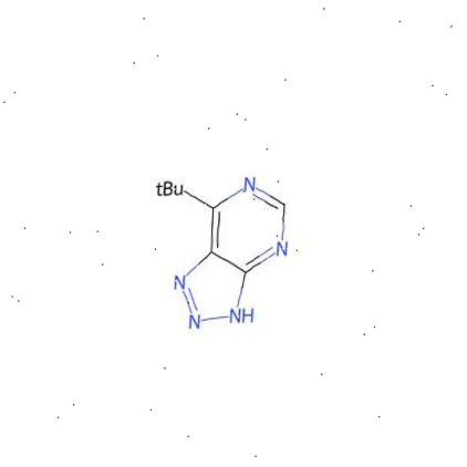 CC(C)(C)c1ncnc2[nH]nnc12